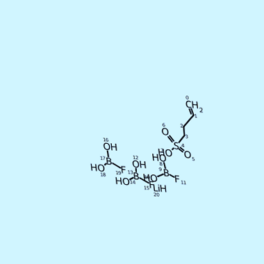 C=CCCS(=O)(=O)O.OB(O)F.OB(O)F.OB(O)F.[LiH]